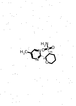 Cc1cnc([C@H]2OCCC[C@H]2S(N)(=O)=O)nc1